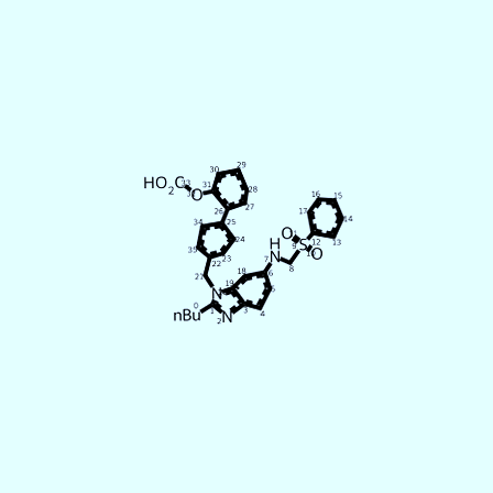 CCCCc1nc2ccc(NCS(=O)(=O)c3ccccc3)cc2n1Cc1ccc(-c2ccccc2OC(=O)O)cc1